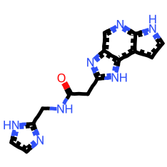 O=C(Cc1nc2cnc3[nH]ccc3c2[nH]1)NCc1ncc[nH]1